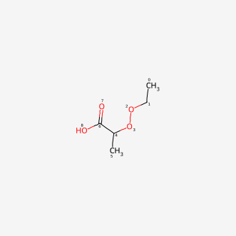 CCOOC(C)C(=O)O